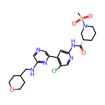 CS(=O)(=O)N1CCC[C@H](C(=O)Nc2cc(-c3cncc(NCC4CCOCC4)n3)c(Cl)cn2)C1